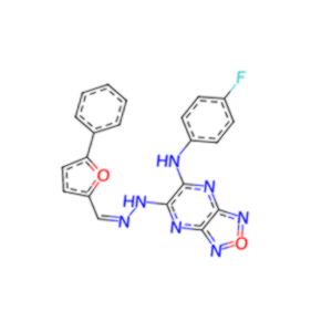 Fc1ccc(Nc2nc3nonc3nc2N/N=C\c2ccc(-c3ccccc3)o2)cc1